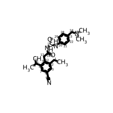 CCc1cc(C#N)cc(C(C)C)c1CC(=O)/N=[SH](=O)\Nc1ccc(CN(C)C)cc1